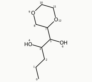 CCCC(O)C(O)C1COCCO1